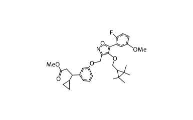 COC(=O)CC(c1cccc(OCc2noc(-c3cc(OC)ccc3F)c2OCC2C(C)(C)C2(C)C)c1)C1CC1